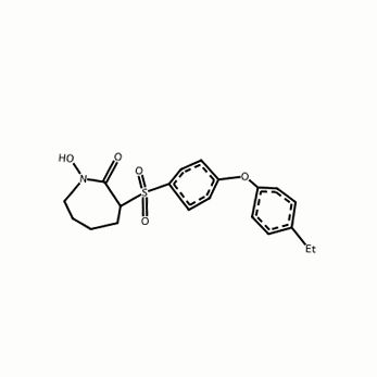 CCc1ccc(Oc2ccc(S(=O)(=O)C3CCCCN(O)C3=O)cc2)cc1